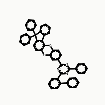 c1ccc(-c2nc(-c3ccc4c(c3)Oc3ccc5c(c3O4)-c3ccccc3C5(c3ccccc3)c3ccccc3)nc(-c3ccccc3-c3ccccc3)n2)cc1